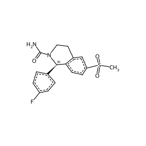 CS(=O)(=O)c1ccc2c(c1)CCN(C(N)=O)[C@@H]2c1ccc(F)cc1